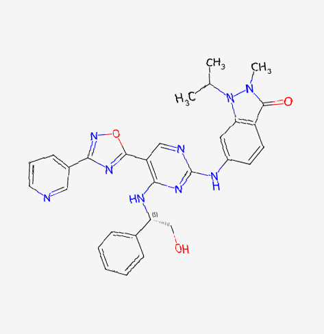 CC(C)n1c2cc(Nc3ncc(-c4nc(-c5cccnc5)no4)c(N[C@H](CO)c4ccccc4)n3)ccc2c(=O)n1C